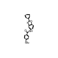 CC(C)(C)c1ccc(C(=O)Nc2ccc3oc(-c4ccccc4)nc3c2)cc1